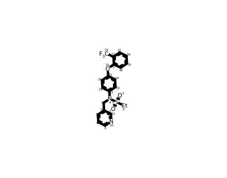 CCS(=O)(=O)N(Cc1cccnc1)c1ccc(Oc2ccccc2C(F)(F)F)cc1